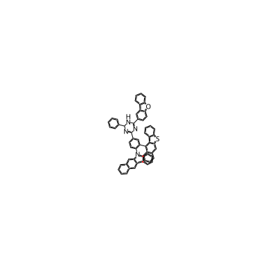 c1ccc(C2N=C(c3ccc(-n4c5ccccc5c5cc6ccccc6cc54)c(-c4c5ccccc5cc5sc6ccccc6c45)c3)N=C(c3ccc4oc5ccccc5c4c3)N2)cc1